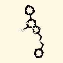 Nc1nc(-c2ccccc2)cc2nc(COCc3ccccc3)nn12